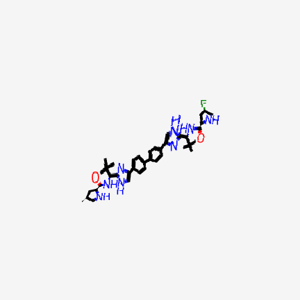 C[C@H]1CN[C@H](C(=O)N[C@H](c2nc(-c3ccc(-c4ccc(-c5c[nH]c([C@@H](NC(=O)[C@@H]6C[C@@H](F)CN6)C(C)(C)C)n5)cc4)cc3)c[nH]2)C(C)(C)C)C1